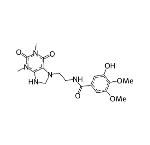 COc1cc(C(=O)NCCN2CNc3c2c(=O)n(C)c(=O)n3C)cc(O)c1OC